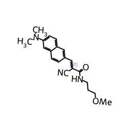 COCCCNC(=O)/C(C#N)=C/c1ccc2cc(N(C)C)ccc2c1